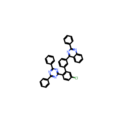 Clc1ccc(-c2nc(-c3ccccc3)nc(-c3ccccc3)n2)c(-c2cccc(-c3nc(-c4ccccc4)nc4ccccc34)c2)c1